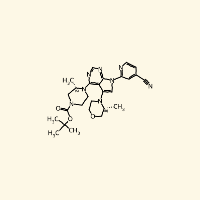 C[C@@H]1COCCN1c1cn(-c2cc(C#N)ccn2)c2ncnc(N3CCN(C(=O)OC(C)(C)C)C[C@@H]3C)c12